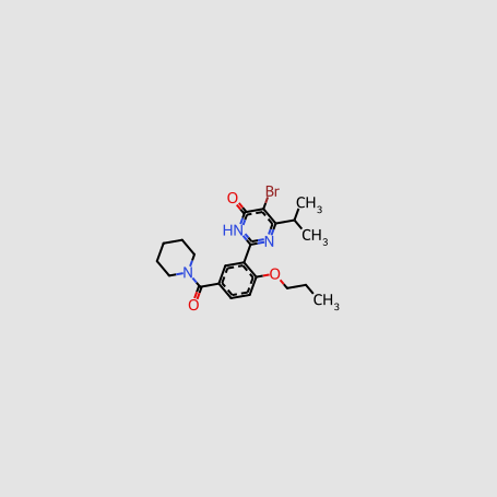 CCCOc1ccc(C(=O)N2CCCCC2)cc1-c1nc(C(C)C)c(Br)c(=O)[nH]1